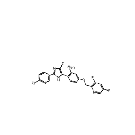 COc1cc(OCc2ncc(F)cc2F)ccc1-c1[nH]c(-c2ccc(Cl)nc2)nc1Cl